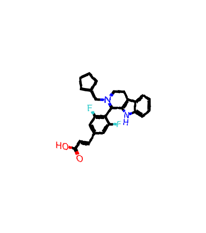 O=C(O)/C=C/c1cc(F)c(C2c3[nH]c4ccccc4c3CCN2CC2CCCC2)c(F)c1